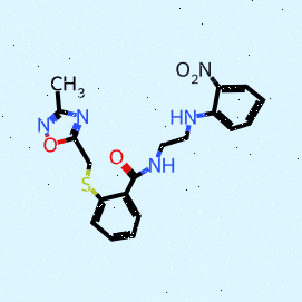 Cc1noc(CSc2ccccc2C(=O)NCCNc2ccccc2[N+](=O)[O-])n1